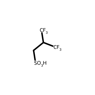 O=S(=O)(O)CC(C(F)(F)F)C(F)(F)F